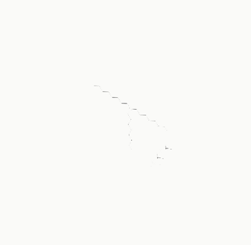 CC(=O)[O-].CC(=O)[O-].CCCCCCCCN(CCCCCCCC)CCCCCCCC.[Zn+2]